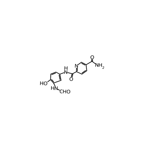 NC(=O)c1ccc(C(=O)Nc2ccc(O)c(NC=O)c2)nc1